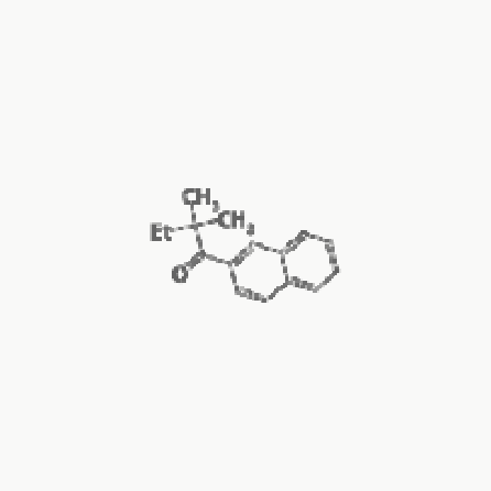 CCC(C)(C)C(=O)c1ccc2ccccc2c1